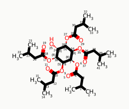 CC(C)CC(=O)O[C@@H]1[C@@H](OC(=O)CC(C)C)[C@H](OC(=O)CC(C)C)[C@H](O)[C@H](OC(=O)CC(C)C)[C@H]1OC(=O)CC(C)C